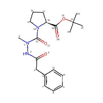 CN(NC(=O)Cc1ccccc1)C(=O)N1CCC[C@H]1C(=O)OC(C)(C)C